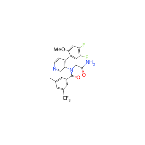 COc1cc(F)c(F)cc1-c1ccncc1N(CC(N)=O)C(=O)c1cc(C)cc(C(F)(F)F)c1